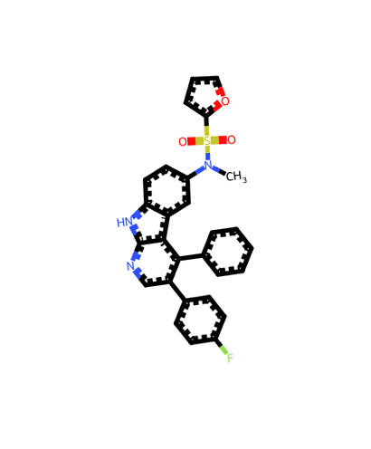 CN(c1ccc2[nH]c3ncc(-c4ccc(F)cc4)c(-c4ccccc4)c3c2c1)S(=O)(=O)c1ccco1